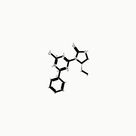 CC[C@H]1COC(=O)N1c1nc(Cl)nc(-c2ccccc2)n1